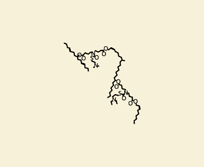 CCC/C=C/CCC(CC/C=C/CCC)OC(=O)CCCN(CCCC(=O)OC/C=C\CCCCC(C)CCCCCCCC(CCCCCCC)OC(=O)CCCN(CCCC(=O)OC/C=C\CCCCCC)C(=O)SCCCN(CC)CC)C(=O)SCCN(C)C